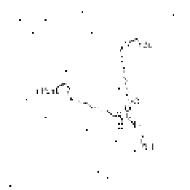 CCCC/C=C\C/C=C\CCCCCCCCC(=O)OCC(C(=O)NCCCCCCCC/C=C\C/C=C\CCCCC)N1CC(CCO)C1